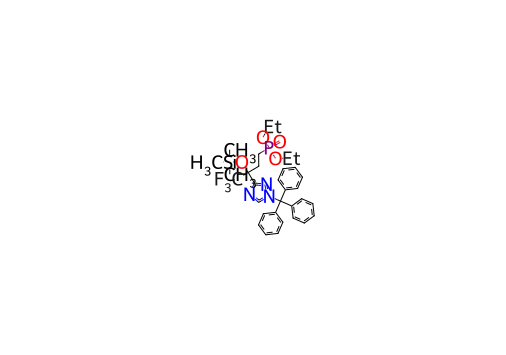 CCOP(=O)(CCC(O[Si](C)(C)C)(c1ncn(C(c2ccccc2)(c2ccccc2)c2ccccc2)n1)C(F)(F)F)OCC